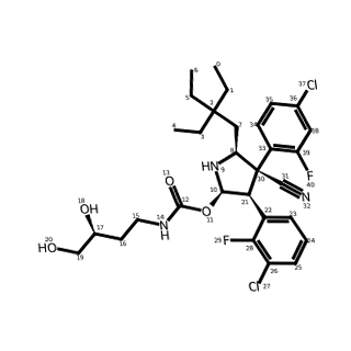 CCC(CC)(CC)C[C@@H]1N[C@H](OC(=O)NCC[C@H](O)CO)[C@H](c2cccc(Cl)c2F)[C@@]1(C#N)c1ccc(Cl)cc1F